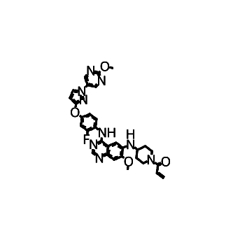 C=CC(=O)N1CCC(Nc2cc3c(Nc4ccc(Oc5ccn(-c6cnc(OC)nc6)n5)cc4F)ncnc3cc2OC)CC1